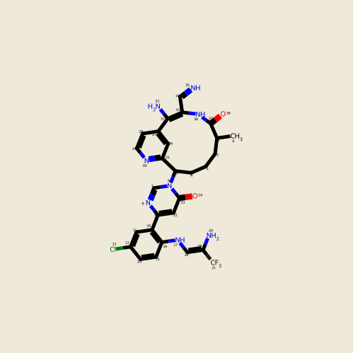 CC1CCCC(n2cnc(-c3cc(Cl)ccc3N/C=C(\N)C(F)(F)F)cc2=O)c2cc(ccn2)/C(N)=C(/C=N)NC1=O